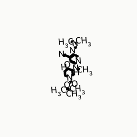 CN(C)/C=N/c1cnc2c(c1C#N)O[C@H]1CCN(C(=O)OC(C)(C)C)C[C@H]1N2C